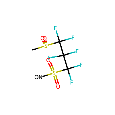 CS(=O)(=O)C(F)(F)C(F)(F)C(F)(F)S(=O)(=O)N=O